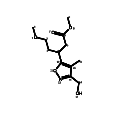 COCCC(CC(=O)OC)c1onc(CO)c1C